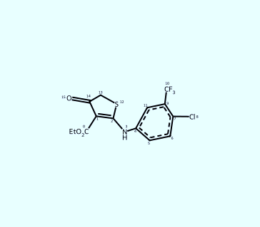 CCOC(=O)C1=C(Nc2ccc(Cl)c(C(F)(F)F)c2)SCC1=O